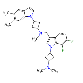 Cc1cc2ccn(C3CC(N(C)Cc4cn(C5CC(N(C)C)C5)c5c(F)c(F)ccc45)C3)c2cc1C